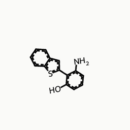 Nc1cccc(O)c1-c1cc2ccccc2s1